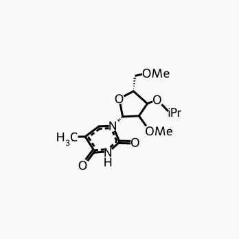 COC[C@H]1O[C@@H](n2cc(C)c(=O)[nH]c2=O)C(OC)C1OC(C)C